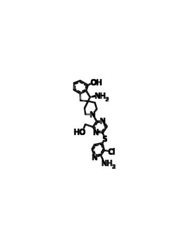 Nc1nccc(Sc2cnc(N3CCC4(CC3)Cc3cccc(O)c3[C@H]4N)c(CO)n2)c1Cl